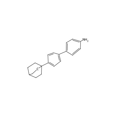 Nc1ccc(-c2ccc(C34CCC(CC3)CC4)cc2)cc1